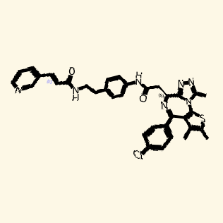 Cc1sc2c(c1C)C(c1ccc(Cl)cc1)=N[C@@H](CC(=O)Nc1ccc(CCNC(=O)/C=C/c3cccnc3)cc1)c1nnc(C)n1-2